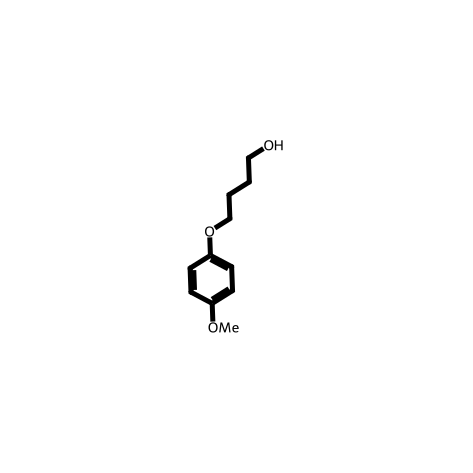 COc1ccc(OCCCCO)cc1